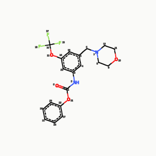 O=C(Nc1cc(CN2CCOCC2)cc(OC(F)(F)F)c1)Oc1ccccc1